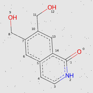 O=c1[nH]ccc2cc(CO)c(CO)cc12